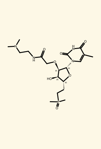 Cc1cn([C@@H]2O[C@H](CCP(C)(C)=O)[C@@H](O)[C@H]2OCC(=O)NCCN(C)C)c(=O)[nH]c1=O